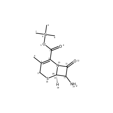 CC1=C(C(=O)O[Si](C)(C)C)N2C(=O)C(N)[C@H]2SC1